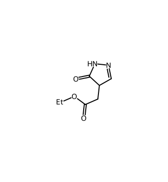 CCOC(=O)CC1C=NNC1=O